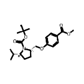 COC(=O)c1ccc(OC[C@@H]2CC[C@H](C(C)C)N2C(=O)OC(C)(C)C)cc1